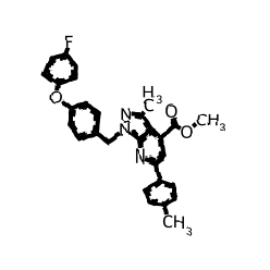 COC(=O)c1cc(-c2ccc(C)cc2)nc2c1c(C)nn2Cc1ccc(Oc2ccc(F)cc2)cc1